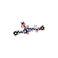 CC(C)(C)OC(=O)CCN1C(=O)C(CCCCNC(=O)OCc2ccccc2)NC(=O)C12CCN(CCCCc1ccccc1)CC2